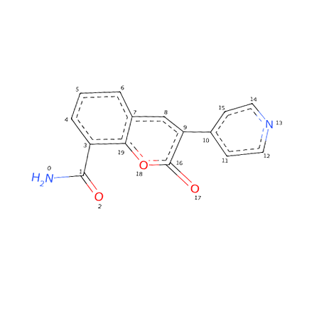 NC(=O)c1cccc2cc(-c3ccncc3)c(=O)oc12